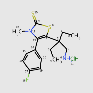 CCC(CC)(CN)c1sc(=S)n(C)c1-c1ccc(F)cc1.Cl